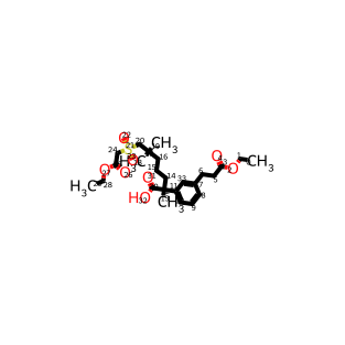 CCOC(=O)CCc1cccc(C(C)(CCCC(C)(C)CS(=O)(=O)CC(=O)OCC)C(=O)O)c1